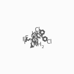 NC(=O)[C@@H](CC1CC1)[C@@H](CCC(F)(F)F)C(=O)N[C@H]1CN(c2ccc(Cl)cc2)c2cccc(Cl)c2NC1=O